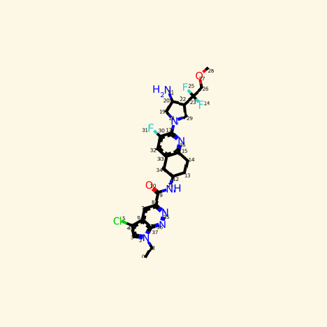 CCn1cc(Cl)c2cc(C(=O)NC3CCc4nc(N5CC(N)C(C(F)(F)COC)C5)c(F)cc4C3)nnc21